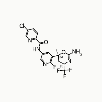 C[C@@]1(c2cc(NC(=O)c3ccc(Cl)cn3)cnc2F)C[C@@H](C(F)(F)F)N=C(N)O1